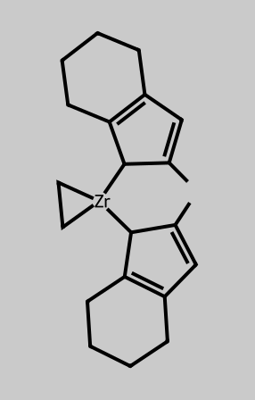 CC1=CC2=C(CCCC2)[CH]1[Zr]1([CH]2C(C)=CC3=C2CCCC3)[CH2][CH2]1